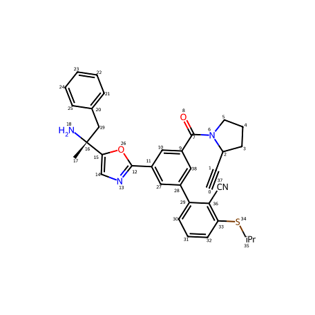 C#CC1CCCN1C(=O)c1cc(-c2ncc([C@](C)(N)Cc3ccccc3)o2)cc(-c2cccc(SC(C)C)c2C#N)c1